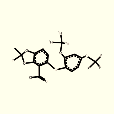 [2H]C([2H])([2H])Oc1cc(OC(F)(F)F)ccc1Oc1ccc2c(c1C(=O)Cl)OC(F)(F)O2